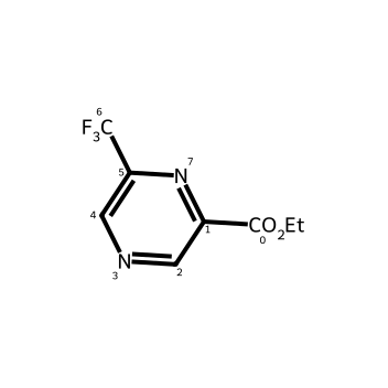 CCOC(=O)c1cncc(C(F)(F)F)n1